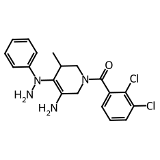 CC1CN(C(=O)c2cccc(Cl)c2Cl)CC(N)=C1N(N)c1ccccc1